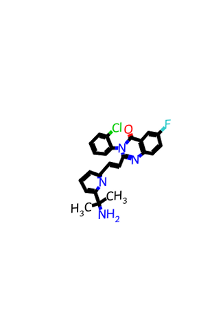 CC(C)(N)c1cccc(C=Cc2nc3ccc(F)cc3c(=O)n2-c2ccccc2Cl)n1